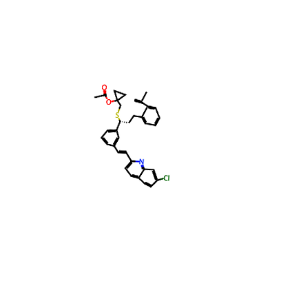 C=C(C)c1ccccc1CC[C@@H](SCC1(OC(C)=O)CC1)c1cccc(/C=C/c2ccc3ccc(Cl)cc3n2)c1